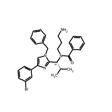 CC(C)[C@H](c1nc(-c2cccc(Br)c2)cn1Cc1ccccc1)N(CCCN)C(=O)c1ccccc1